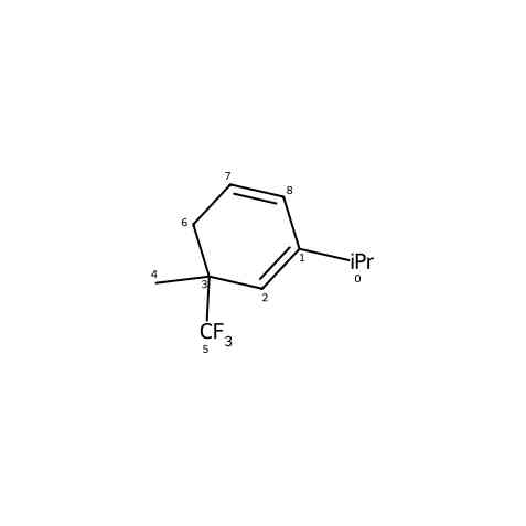 CC(C)C1=CC(C)(C(F)(F)F)CC=C1